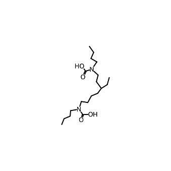 CCCCN(CCCCC(CC)CCN(CCCC)C(=O)O)C(=O)O